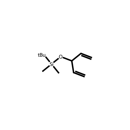 C=CC(C=C)O[Si](C)(C)C(C)(C)C